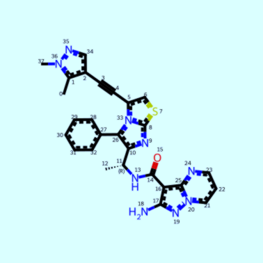 Cc1c(C#Cc2csc3nc([C@@H](C)NC(=O)c4c(N)nn5cccnc45)c(-c4ccccc4)n23)cnn1C